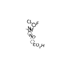 Cc1nn(Cc2cc(F)cc(Cl)c2)c2c1CCN(C(=O)C[C@H]1CC[C@H](C(=O)O)CC1)C2